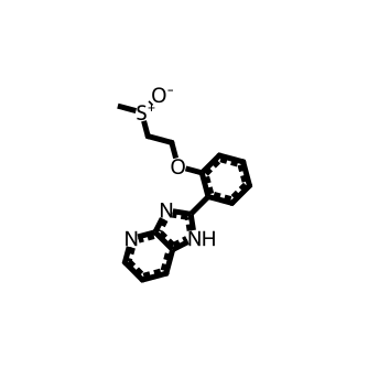 C[S+]([O-])CCOc1ccccc1-c1nc2ncccc2[nH]1